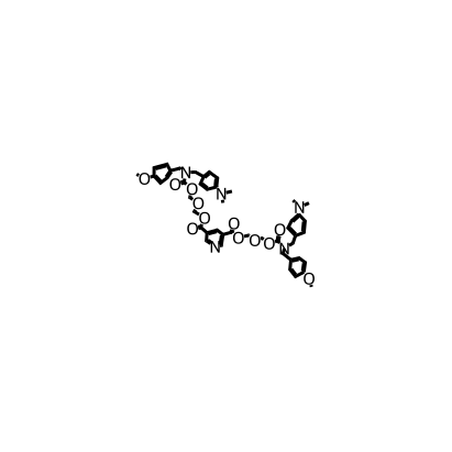 COc1ccc(CN(Cc2ccc(N(C)C)cc2)C(=O)OCOCOC(=O)c2cncc(C(=O)OCOCOC(=O)N(Cc3ccc(OC)cc3)Cc3ccc(N(C)C)cc3)c2)cc1